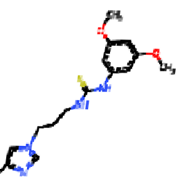 COc1cc(NC(=S)NCCCn2cnc(C)c2)cc(OC)c1